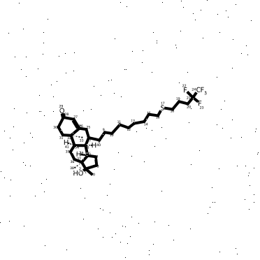 CC1(O)CC[C@H]2[C@@H]3C(CCCCCCCCCSCCCC(F)(F)C(F)(F)F)CC4=CC(=O)CC[C@]4(C)[C@@H]3CC[C@@]21C